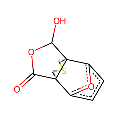 O=C1OC(O)[C@]23CSC[C@]12c1ccc3o1